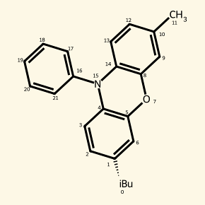 CC[C@@H](C)c1ccc2c(c1)Oc1cc(C)ccc1N2c1ccccc1